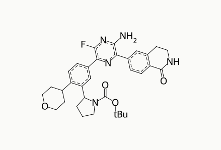 CC(C)(C)OC(=O)N1CCCC1c1cc(-c2nc(-c3ccc4c(c3)CCNC4=O)c(N)nc2F)ccc1C1CCOCC1